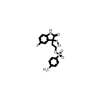 CCSC1(CCOS(=O)(=O)c2ccc(C)cc2)C(=O)Nc2ccc(F)cc21